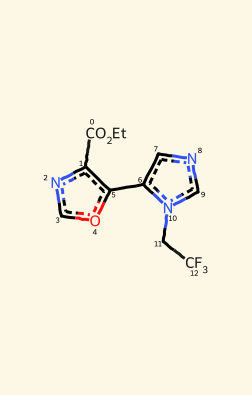 CCOC(=O)c1ncoc1-c1cncn1CC(F)(F)F